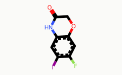 O=C1COc2cc(F)c(I)cc2N1